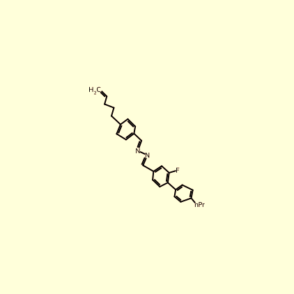 C=CCCCc1ccc(C=NN=Cc2ccc(-c3ccc(CCC)cc3)c(F)c2)cc1